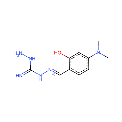 CN(C)c1ccc(/C=N/NC(=N)NN)c(O)c1